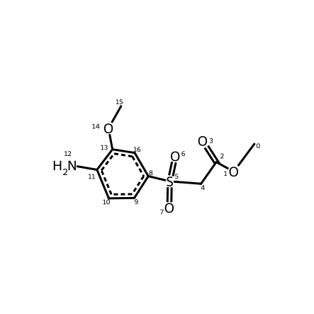 COC(=O)CS(=O)(=O)c1ccc(N)c(OC)c1